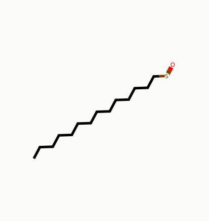 CCCCCCCCCCCCCC[S+]=O